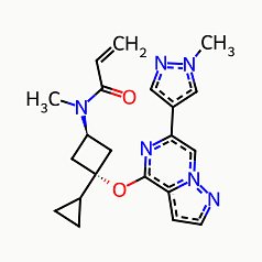 C=CC(=O)N(C)[C@H]1C[C@@](Oc2nc(-c3cnn(C)c3)cn3nccc23)(C2CC2)C1